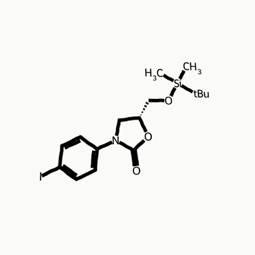 CC(C)(C)[Si](C)(C)OC[C@H]1CN(c2ccc(I)cc2)C(=O)O1